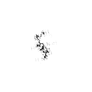 CN(C)CCn1nnnc1SCC1=C(C(=O)O)N2C(=O)C(NC(=O)C(=C(Cl)Cl)c3csc(N)n3)[C@H]2SC1.[NaH]